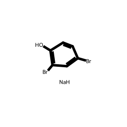 Oc1ccc(Br)cc1Br.[NaH]